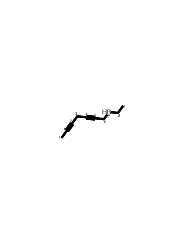 CC#CCC#CCBCC